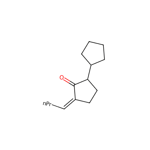 CCC/C=C1/CCC(C2CCCC2)C1=O